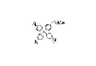 CNCc1ccc(C(c2ccc(N(C)C)cc2)(c2ccc(N(C)C)cc2)c2ccc(N(C)C)cc2)cc1